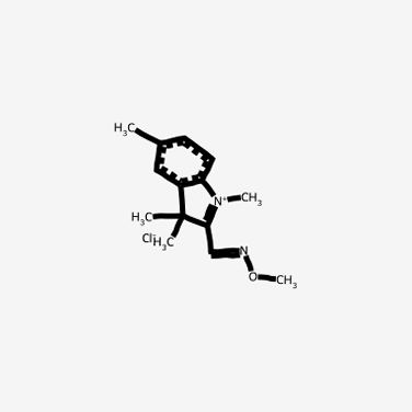 CON=CC1=[N+](C)c2ccc(C)cc2C1(C)C.[Cl-]